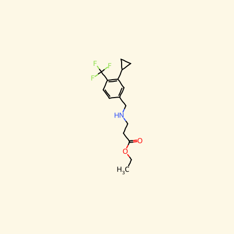 CCOC(=O)CCNCc1ccc(C(F)(F)F)c(C2CC2)c1